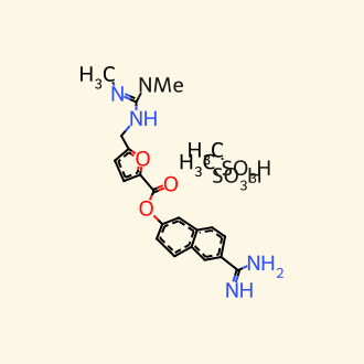 CN=C(NC)NCc1ccc(C(=O)Oc2ccc3cc(C(=N)N)ccc3c2)o1.CS(=O)(=O)O.CS(=O)(=O)O